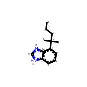 CCCC(C)(C)c1cccc2[nH]cnc12